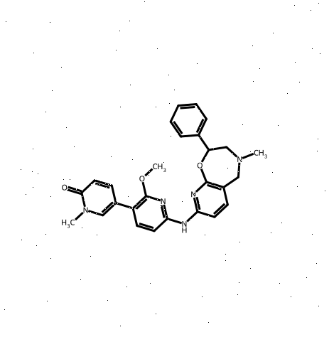 COc1nc(Nc2ccc3c(n2)OC(c2ccccc2)CN(C)C3)ccc1-c1ccc(=O)n(C)c1